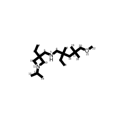 CCC(C)(CNCC1(CC)CN(C(C)C)C1)CC(C)(C)COC